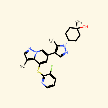 Cc1c(-c2cc(Sc3ncccc3F)c3c(C#N)cnn3c2)cnn1[C@H]1CC[C@@](C)(O)CC1